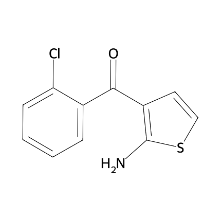 Nc1sccc1C(=O)c1ccccc1Cl